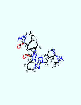 CC1(C)CNC(=O)c2cc(NC(=O)c3cccnc3NCc3ccnc4[nH]ccc34)ccc21